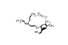 C=CCN(CC=C)CCOc1cc(C)c(O)cc1C(C)C.CC(=O)O